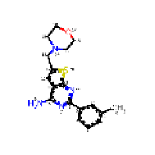 Cc1cccc(-c2nc(N)c3cc(CN4CCOCC4)sc3n2)c1